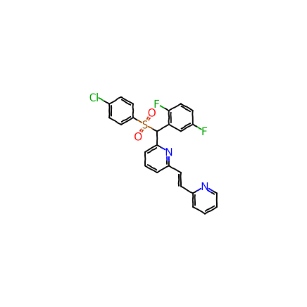 O=S(=O)(c1ccc(Cl)cc1)C(c1cccc(C=Cc2ccccn2)n1)c1cc(F)ccc1F